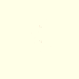 O=C1CCC(N2C(=O)C3=C(C=CCC3)S2(=O)=O)C(=O)N1